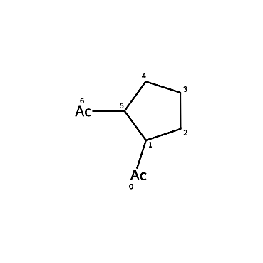 CC(=O)C1CCCC1C(C)=O